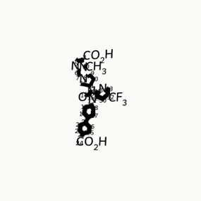 Cn1c(C(=O)O)cnc1CN1CC[C@H](n2c(=O)n(-c3ccc(-c4ccc(C(=O)O)cc4)cc3)c3cc(C(F)(F)F)cnc32)C1